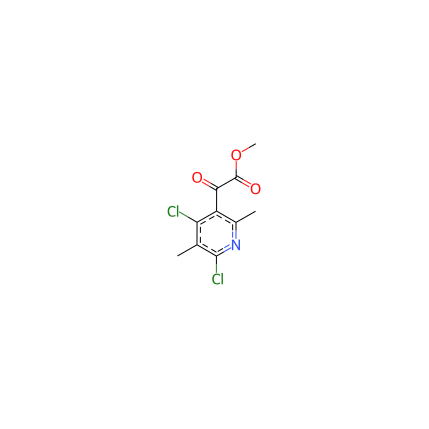 COC(=O)C(=O)c1c(C)nc(Cl)c(C)c1Cl